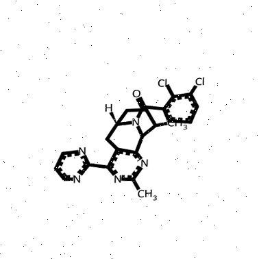 Cc1nc(-c2ncccn2)c2c(n1)C1C(C)CC[C@@H](C2)N1C(=O)c1cccc(Cl)c1Cl